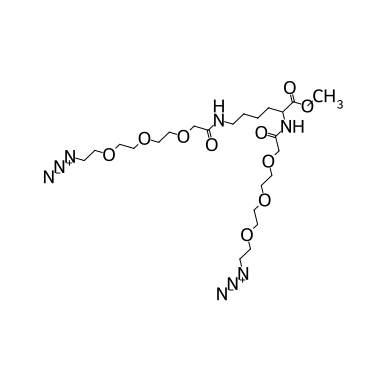 COC(=O)C(CCCCNC(=O)COCCOCCOCCN=[N+]=[N-])NC(=O)COCCOCCOCCN=[N+]=[N-]